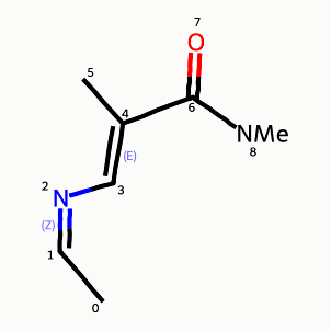 C/C=N\C=C(/C)C(=O)NC